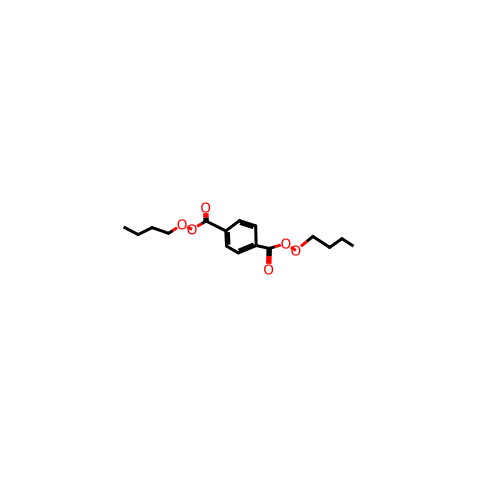 CCCCOOC(=O)c1ccc(C(=O)OOCCCC)cc1